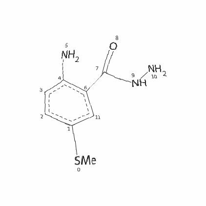 CSc1ccc(N)c(C(=O)NN)c1